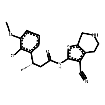 COc1cccc([C@@H](C)CC(=O)Nc2sc3c(c2C#N)CCNC3)c1Cl